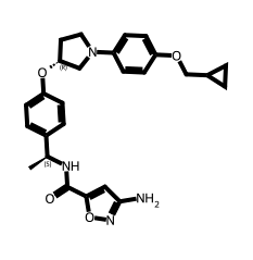 C[C@H](NC(=O)c1cc(N)no1)c1ccc(O[C@@H]2CCN(c3ccc(OCC4CC4)cc3)C2)cc1